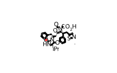 CC(C)[C@@H]1NC(=O)N([C@@H](Cc2ccccc2)C[C@@H]2OC(=O)N(C(=O)O)[C@H]2C(Cc2cncs2)c2ccccc2)C1=O